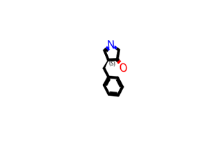 O=C1CN=C[C@@H]1Cc1ccccc1